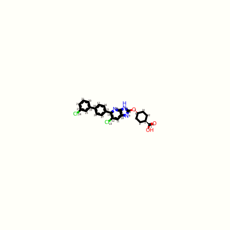 O=C(O)[C@H]1CC[C@H](Oc2nc3cc(Cl)c(-c4ccc(-c5cccc(Cl)c5)cc4)nc3[nH]2)CC1